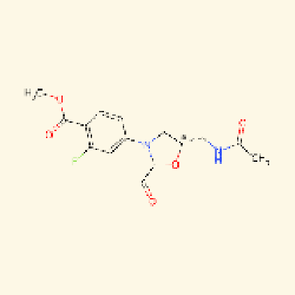 COC(=O)c1ccc(N2C[C@H](CNC(C)=O)OC2C=O)cc1F